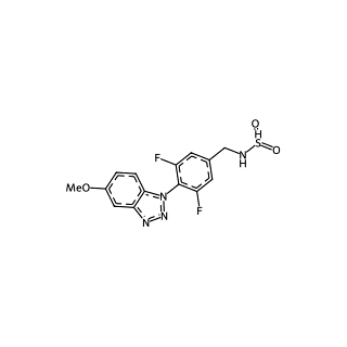 COc1ccc2c(c1)nnn2-c1c(F)cc(CN[SH](=O)=O)cc1F